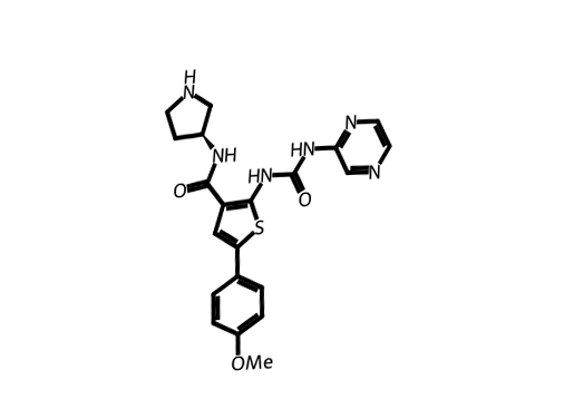 COc1ccc(-c2cc(C(=O)N[C@H]3CCNC3)c(NC(=O)Nc3cnccn3)s2)cc1